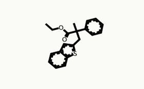 CCOC(=O)C(C)(Cc1cc2ccccc2s1)c1ccccc1